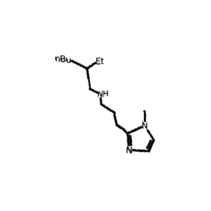 CCCCC(CC)CNCCCc1nccn1C